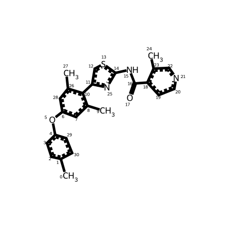 Cc1ccc(Oc2cc(C)c(-c3csc(NC(=O)c4ccncc4C)n3)c(C)c2)cc1